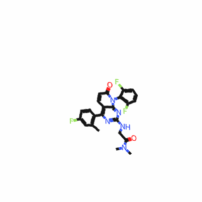 Cc1cc(F)ccc1-c1nc(NCC(=O)N(C)C)nc2c1ccc(=O)n2-c1c(F)cccc1F